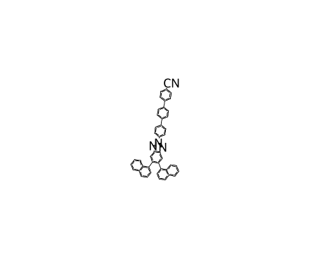 N#Cc1ccc(-c2ccc(-c3ccc(-n4nc5cc(-c6cccc7ccccc67)c(-c6cccc7ccccc67)cc5n4)cc3)cc2)cc1